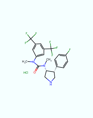 CN(C(=O)N(C)[C@H]1CNC[C@H]1c1ccc(F)cc1)c1cc(C(F)(F)F)cc(C(F)(F)F)c1.Cl